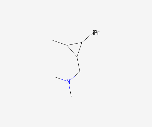 CC(C)C1C(C)C1CN(C)C